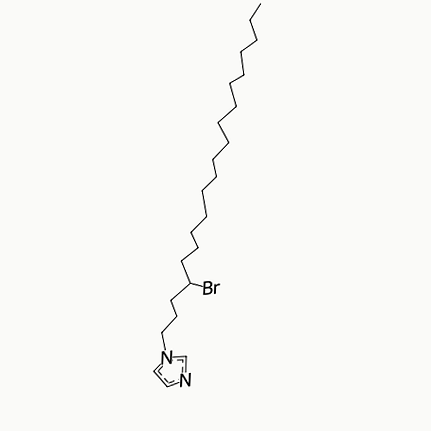 CCCCCCCCCCCCCCCCC(Br)CCCn1ccnc1